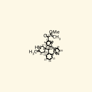 CON(C)C(=O)c1cc([C@@]2(C(=O)c3ccccc3-n3nccn3)CC[C@@H](C)NC2)on1